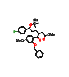 COC(=O)CC(CC[C@H](O[Si](C)(C)C(C)(C)C)c1ccc(F)cc1)C(=O)c1ccc(OC)cc1OCc1ccccc1